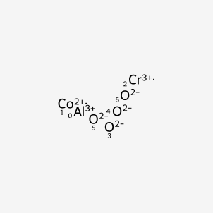 [Al+3].[Co+2].[Cr+3].[O-2].[O-2].[O-2].[O-2]